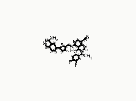 C[C@@H](c1ccc(F)c(F)c1)n1cnc2c(C#N)cnc(NCc3ccc(-c4ccc5cnnc(N)c5c4)s3)c2c1=O